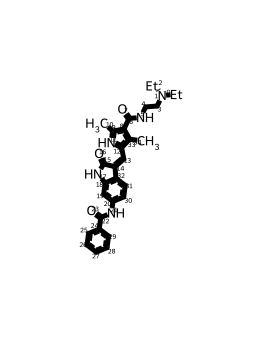 CCN(CC)CCNC(=O)c1c(C)[nH]c(/C=C2\C(=O)Nc3cc(NC(=O)c4ccccc4)ccc32)c1C